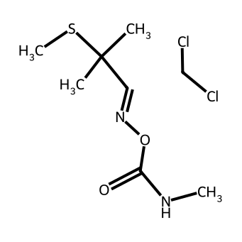 CNC(=O)ON=CC(C)(C)SC.ClCCl